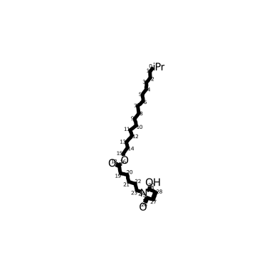 CC(C)CCCCCCCCCCCCCCCOC(=O)CCCCCN1C(=O)C=CC1O